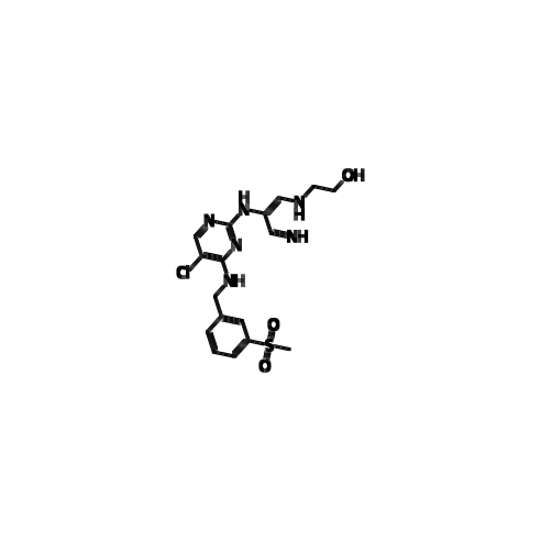 CS(=O)(=O)c1cccc(CNc2nc(N/C(C=N)=C/NCCO)ncc2Cl)c1